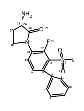 CS(=O)(=O)c1c(-c2ccccc2)ccc(N2CC[C@H](N)C2=O)c1F